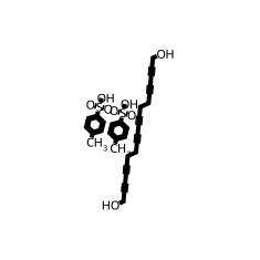 Cc1ccc(S(=O)(=O)O)cc1.Cc1ccc(S(=O)(=O)O)cc1.OCC#CC#CCCC#CC#CCCC#CC#CCO